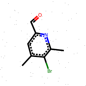 Cc1cc(C=O)nc(C)c1Br